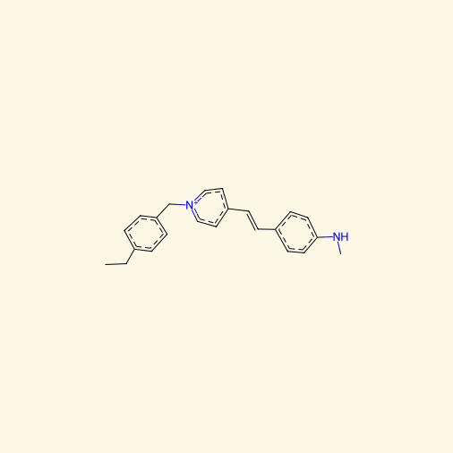 CCc1ccc(C[n+]2ccc(C=Cc3ccc(NC)cc3)cc2)cc1